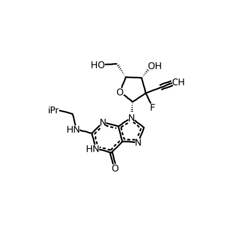 C#CC1(F)[C@@H](O)[C@@H](CO)O[C@H]1n1cnc2c(=O)[nH]c(NCC(C)C)nc21